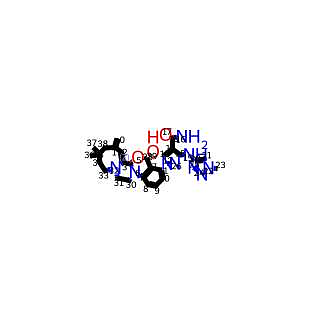 C=C1/C=C2/C(=O)N(c3cccc(-n4cc(C(N)=O)c(Nc5cn(C)nn5)n4)c3CO)CCN2CCC(C)(C)C1